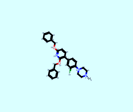 [2H]N1CCN(c2ccc(-c3ccc(OCc4ccccc4)nc3OCc3ccccc3)cc2F)CC1